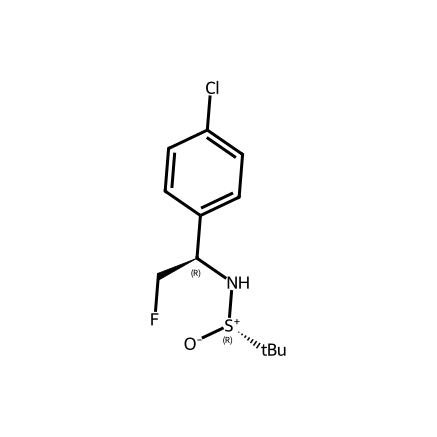 CC(C)(C)[S@+]([O-])N[C@@H](CF)c1ccc(Cl)cc1